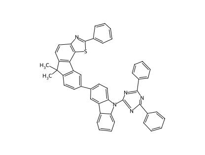 CC1(C)c2ccc(-c3ccc4c(c3)c3ccccc3n4-c3nc(-c4ccccc4)nc(-c4ccccc4)n3)cc2-c2c1ccc1nc(-c3ccccc3)sc21